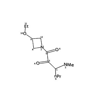 CCCC(NC)C(=O)C(=O)N1CC(OCC)C1